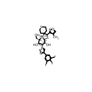 Cc1conc1[C@@H](S[C@@H]1O[C@H](CO)[C@H](O)[C@H](n2cc(-c3cc(F)c(F)c(F)c3)nn2)[C@H]1O)C1(O)CCSCC1